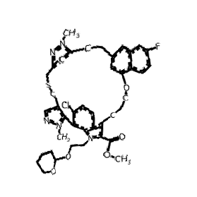 COC(=O)c1c2c3ccc(Cl)c(c3n1CCOC1CCCCO1)-c1c(cnn1C)CSCc1cc(n(C)n1)CCc1cc(c3ccc(F)cc3c1)OCCC2